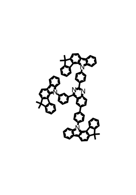 CC1(C)c2ccccc2-c2c1ccc1c3ccccc3n(-c3ccc(-c4ccc5nc(-c6ccc(-n7c8ccccc8c8ccc9c(c87)-c7ccccc7C9(C)C)cc6)nc(-c6cccc(-n7c8ccccc8c8ccc9c(c87)-c7ccccc7C9(C)C)c6)c5c4)cc3)c21